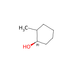 CC1CCCC[C@H]1O